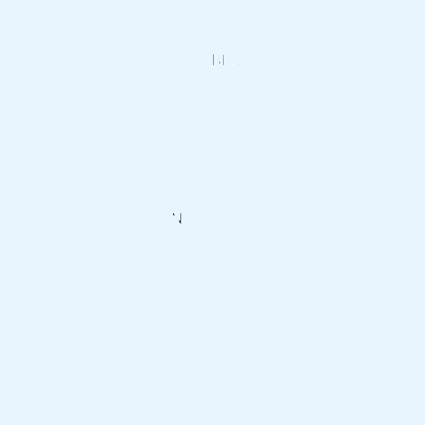 CCCCCCCCCCCCCCCC[N+](CC)(CC)CCCCCCCCCCCCCCCC.[BH4-]